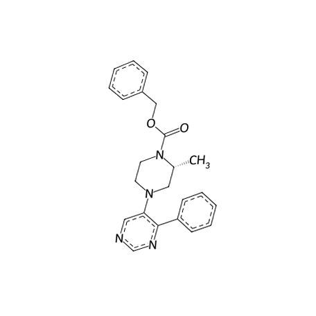 C[C@@H]1CN(c2cncnc2-c2ccccc2)CCN1C(=O)OCc1ccccc1